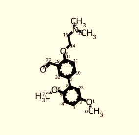 COc1ccc(OC)c(-c2ccc(OCCN(C)C)c(C=O)c2)c1